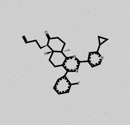 C=CCC[C@H]1C(=O)CC[C@@]2(C)c3nc(-c4ccnc(C5CC5)c4)nc(-c4ccccc4F)c3CC[C@H]12